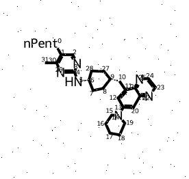 CCCCCc1cnc(N[C@H]2CC[C@@H](Cc3cc(N4CCCCC4)cc4nccnc34)CC2)nc1C